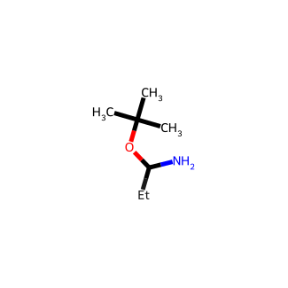 CCC(N)OC(C)(C)C